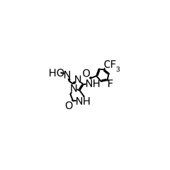 O=C1Cn2c(/C=N/O)nc(NC(=O)c3cc(F)cc(C(F)(F)F)c3)c2CN1